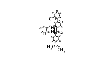 CCC(C)c1ccc(NC(=O)c2ccc(-c3ncccc3Cl)cc2NCc2ccccc2)cc1